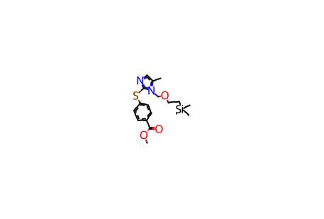 COC(=O)c1ccc(Sc2ncc(C)n2COCC[Si](C)(C)C)cc1